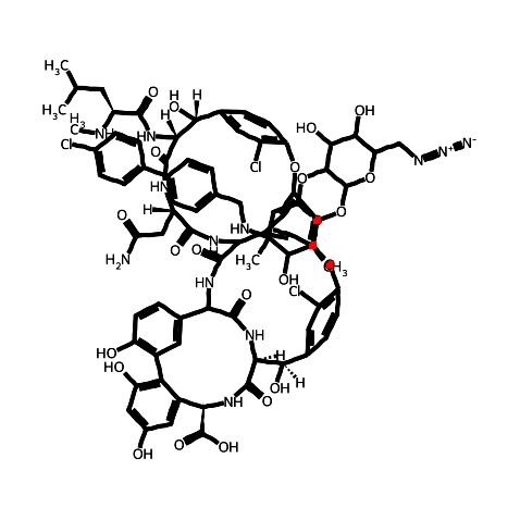 CN[C@@H](CC(C)C)C(=O)N[C@H]1C(=O)N[C@@H](CC(N)=O)C(=O)NC2C(=O)NC3C(=O)N[C@H](C(=O)N[C@@H](C(=O)O)c4cc(O)cc(O)c4-c4cc3ccc4O)[C@H](O)c3ccc(c(Cl)c3)Oc3cc2cc(c3OC2OC(CN=[N+]=[N-])C(O)C(O)C2OC2CC(C)(NCc3ccc(-c4ccc(Cl)cc4)cc3)C(O)C(C)O2)Oc2ccc(cc2Cl)[C@H]1O